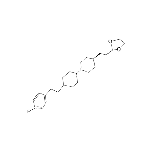 Fc1ccc(CCC2CCC([C@H]3CC[C@H](CCC4OCCO4)CC3)CC2)cc1